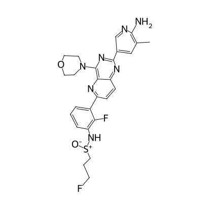 Cc1cc(-c2nc(N3CCOCC3)c3nc(-c4cccc(N[S+]([O-])CCCF)c4F)ccc3n2)cnc1N